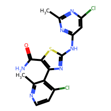 Cc1nc(Cl)cc(Nc2nc(-c3c(Cl)ccnc3C)c(C(N)=O)s2)n1